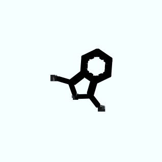 CCC1=c2ccccc2=C(CC)[N]1